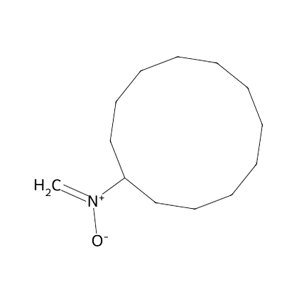 C=[N+]([O-])C1CCCCCCCCCCC1